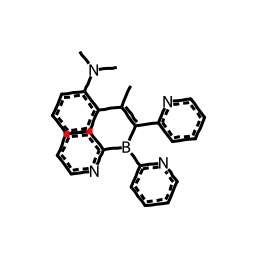 C/C(=C(/B(c1ccccn1)c1ccccn1)c1ccccn1)c1ccccc1N(C)C